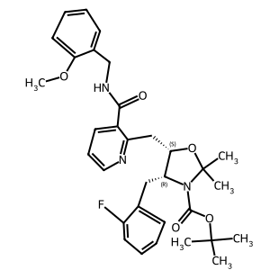 COc1ccccc1CNC(=O)c1cccnc1C[C@@H]1OC(C)(C)N(C(=O)OC(C)(C)C)[C@@H]1Cc1ccccc1F